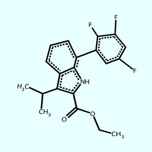 CCOC(=O)c1[nH]c2c(-c3cc(F)cc(F)c3F)cccc2c1C(C)C